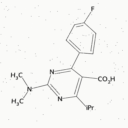 CC(C)c1nc(N(C)C)nc(-c2ccc(F)cc2)c1C(=O)O